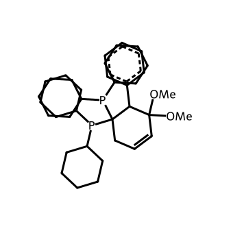 COC1(OC)C=CCC(P(C2CCCCC2)C2CCCCC2)(P(C2CCCCC2)C2CCCCC2)C1c1ccccc1